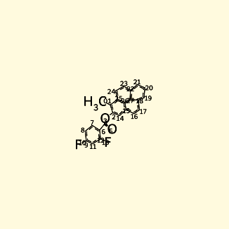 Cc1c(OC(=O)c2ccc(F)cc2F)cc2ccc3cccc4ccc1c2c34